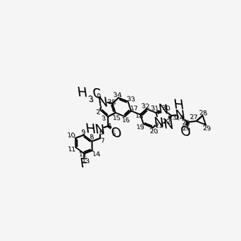 Cn1cc(C(=O)NCc2cccc(F)c2)c2cc(-c3ccn4nc(NC(=O)C5CC5)nc4c3)ccc21